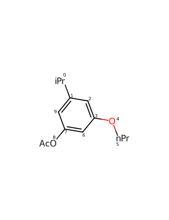 [CH2]C(C)c1cc(OCCC)cc(OC(C)=O)c1